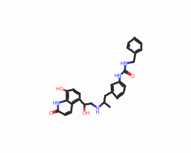 CC(Cc1cccc(NC(=O)NCc2ccccc2)c1)NCC(O)c1ccc(O)c2[nH]c(=O)ccc12